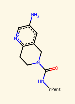 CCCCCNC(=O)N1CCc2ncc(N)cc2C1